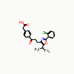 CC(C)c1oc(-c2ccccc2Cl)nc1CCC(=O)c1ccc(CC(=O)O)cc1